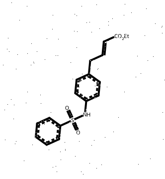 CCOC(=O)/C=C/Cc1ccc(NS(=O)(=O)c2ccccc2)cc1